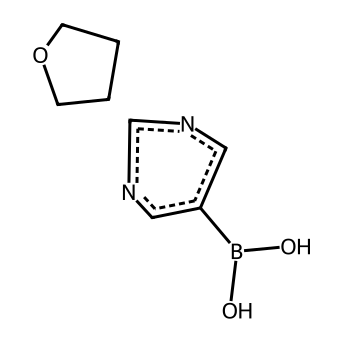 C1CCOC1.OB(O)c1cncnc1